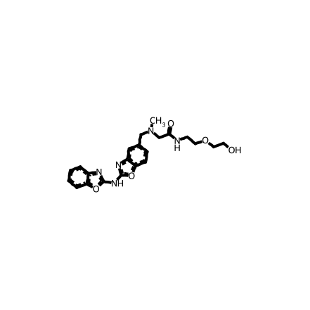 CN(CC(=O)NCCOCCO)Cc1ccc2oc(Nc3nc4ccccc4o3)nc2c1